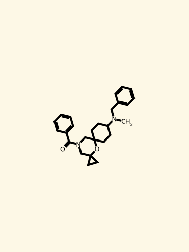 CN(Cc1ccccc1)C1CCC2(CC1)CN(C(=O)c1ccccc1)CC1(CC1)O2